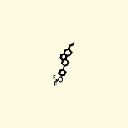 CC=CC1CCc2c(ccc3c2CCC(c2ccc(OC(F)F)cc2)C3)C1